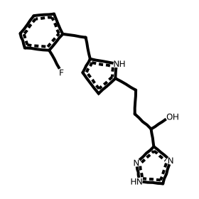 OC(CCc1ccc(Cc2ccccc2F)[nH]1)c1nc[nH]n1